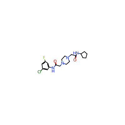 O=C(CN1CCN(CC(=O)NC2CCCC2)CC1)Nc1cc(F)cc(Cl)c1